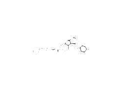 O=C(/C=C/CNCC1CCCCC1)N1CCc2c(sc3ncnc(Nc4ccc(Cl)c(Cl)c4)c23)C1